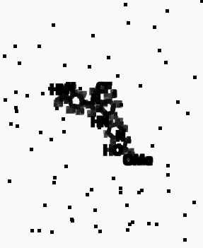 COCC(O)CN1CCC(Nc2cccc3c2cc(-c2ccc4c(C)[nH]nc4c2)n3CC(F)(F)F)CC1